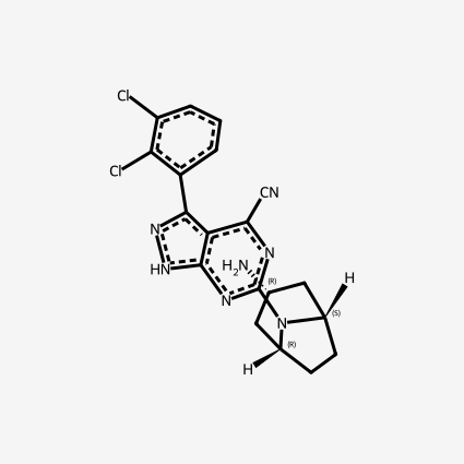 N#Cc1nc(N2[C@@H]3CC[C@H]2C[C@@H](N)C3)nc2[nH]nc(-c3cccc(Cl)c3Cl)c12